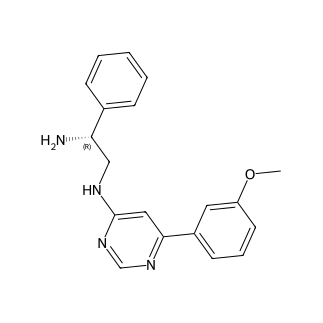 COc1cccc(-c2cc(NC[C@H](N)c3ccccc3)ncn2)c1